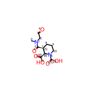 CN(CC=O)C(=O)[C@H]1CCCN(C(=O)O)[C@H]1C(=O)O